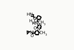 Cc1ccc(C(=O)NC2CC2)cc1-n1ccnc(NC(C)(C)c2ccccc2OC2CNC2)c1=O